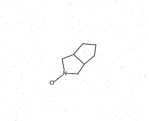 ClN1CC2CCCC2C1